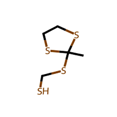 CC1(SCS)SCCS1